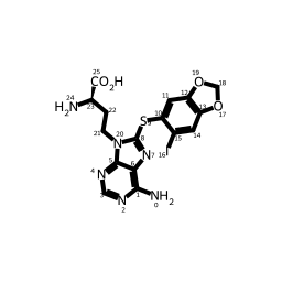 Nc1ncnc2c1nc(Sc1cc3c(cc1I)OCO3)n2CC[C@@H](N)C(=O)O